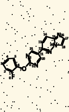 Fc1ccccc1Oc1ncc(-c2ccc3nccn3n2)cn1